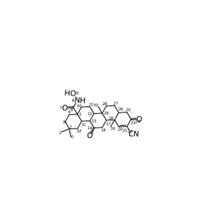 CC1(C)CCC2(C(=O)NO)CCC3C(C(=O)CC4C5(C)C=C(C#N)C(=O)CC5CCC34C)C2C1